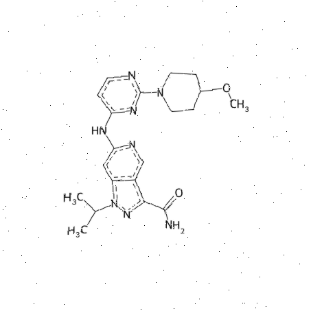 COC1CCN(c2nccc(Nc3cc4c(cn3)c(C(N)=O)nn4C(C)C)n2)CC1